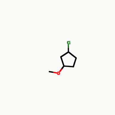 COC1CCC(Cl)C1